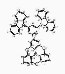 c1cc2c3c(c1)Oc1cc(-c4nc(-n5c6ccccc6c6ccccc65)cc(-n5c6ccccc6c6ccccc65)n4)cc4c1B3c1c(cccc1O4)O2